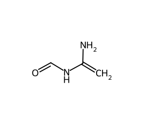 C=C(N)NC=O